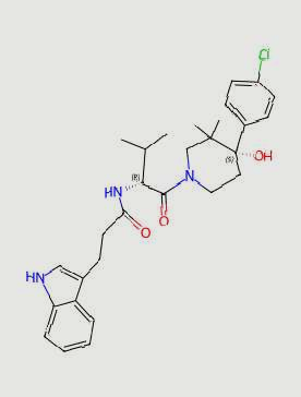 CC(C)[C@@H](NC(=O)CCc1c[nH]c2ccccc12)C(=O)N1CC[C@](O)(c2ccc(Cl)cc2)C(C)(C)C1